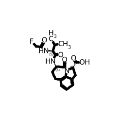 CC(C)[C@H](NC(=O)CF)C(=O)N[C@H]1CCc2cccc3c2N(C1=O)[C@H](C(=O)O)C3